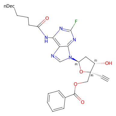 C#C[C@]1(COC(=O)c2ccccc2)O[C@@H](n2cnc3c(NC(=O)CCCCCCCCCCCCC)nc(F)nc32)C[C@@H]1O